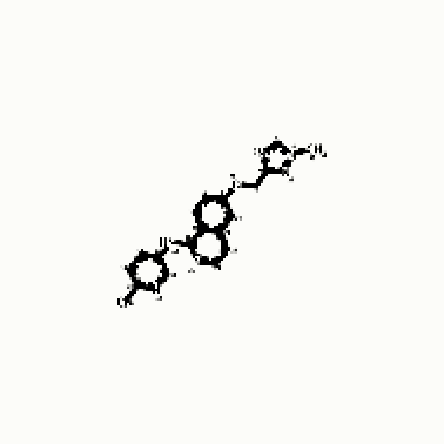 Cn1cnc(COc2ccc3c(Nc4ccc(Cl)nc4)nccc3c2)n1